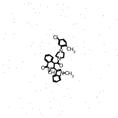 Cc1ccc(Cl)cc1N1CCN(C(=O)C2c3ccccc3C(=O)N(C)C2c2cn(C)c3ccccc23)CC1